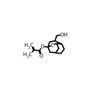 C=C(C)C(=O)OC12CC3CCC(C(CO)C1)C(C3)C2